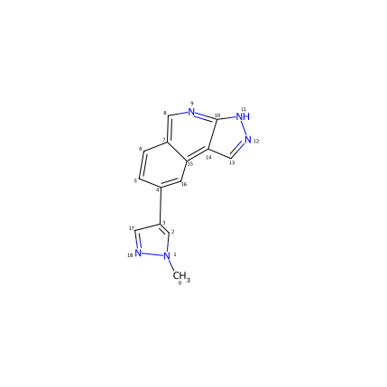 Cn1cc(-c2ccc3cnc4[nH]ncc4c3c2)cn1